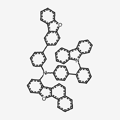 c1cc(-c2ccc3oc4ccccc4c3c2)cc(N(c2ccc(-c3ccccc3-n3c4ccccc4c4ccccc43)cc2)c2cccc3oc4c5ccccc5ccc4c23)c1